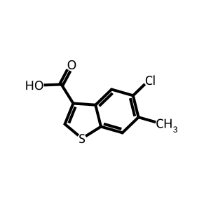 Cc1cc2scc(C(=O)O)c2cc1Cl